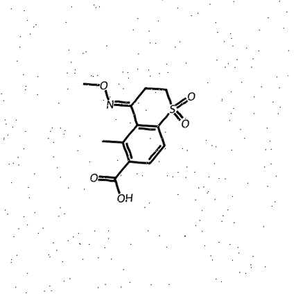 CON=C1CCS(=O)(=O)c2ccc(C(=O)O)c(C)c21